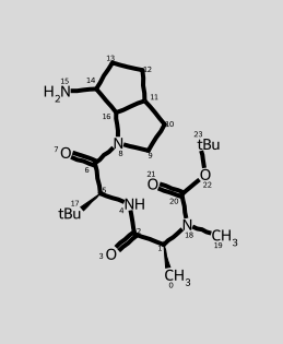 C[C@@H](C(=O)N[C@H](C(=O)N1CCC2CCC(N)C21)C(C)(C)C)N(C)C(=O)OC(C)(C)C